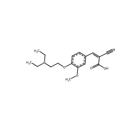 CCN(CC)CCOc1ccc(C=C(C#N)C(=O)O)cc1OC